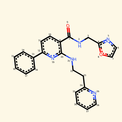 O=C(NCc1ncco1)c1ccc(-c2ccccc2)nc1NCCc1ccccn1